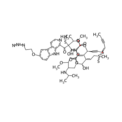 CC#C/C=C\C#C[C@H](OC1OC(C)C(SC)(C(=O)c2nccc3c2[nH]c2ccc(OCCN=[N+]=[N-])cc23)C(O)C1OC1CC(OC)C(NC(C)C)CO1)C1=C(NC(=O)OC)C(=O)C[C@H](O)/C1=C/CS(C)(=S)=S